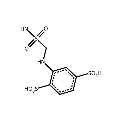 [NH]S(=O)(=O)CNc1cc(S(=O)(=O)O)ccc1S(=O)(=O)O